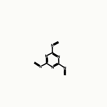 C=Nc1nc(N=C)nc(N=C)n1